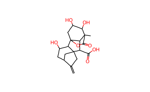 C=C1CC23CC1CC(O)C2C12CC(O)C(O)C(C)(C(=O)O1)C2C3C(=O)O